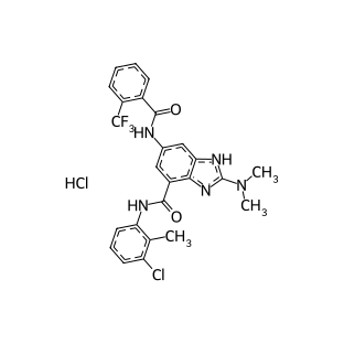 Cc1c(Cl)cccc1NC(=O)c1cc(NC(=O)c2ccccc2C(F)(F)F)cc2[nH]c(N(C)C)nc12.Cl